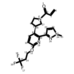 C=CC(=O)N1CC[C@H](c2ccc(OCCC(F)(F)F)nc2-c2ccn(C)n2)C1